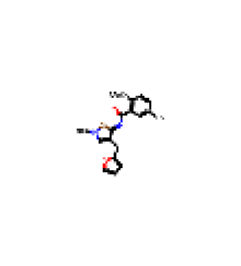 COc1ccc(C#N)cc1C(=O)/N=c1\sn(C(C)(C)C)cc1Cc1ccco1